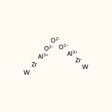 [Al+3].[Al+3].[O-2].[O-2].[O-2].[W].[W].[Zr].[Zr]